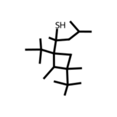 CC(C)CC(C)(S)C1(C(C)(C)C)CC(C)(C(C)(C)C)C1C